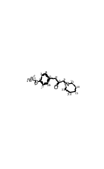 CCCCOc1ccc(CC(=O)CN2CCCCC2)cc1